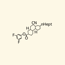 CCCCCCCC1CCC2C(C1)C(C#N)C[C@@H]1C[C@H](C(=O)Oc3cc(F)cc(F)c3)CC[C@H]21